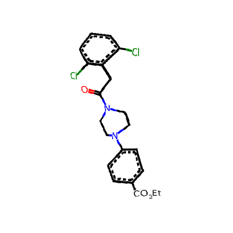 CCOC(=O)c1ccc(N2CCN(C(=O)Cc3c(Cl)cccc3Cl)CC2)cc1